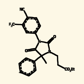 CCOC(=O)CCN1C(=O)N(c2ccc(C#N)c(C(F)(F)F)c2)C(=O)C1(C)c1cc[c]cc1